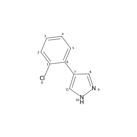 Clc1ccccc1-c1cn[nH]c1